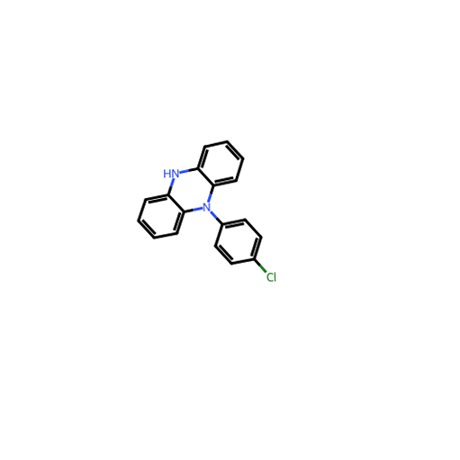 Clc1ccc(N2c3ccccc3Nc3ccccc32)cc1